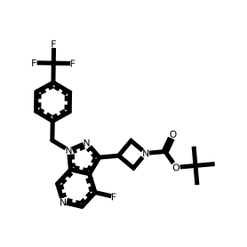 CC(C)(C)OC(=O)N1CC(c2nn(Cc3ccc(C(F)(F)F)cc3)c3cncc(F)c23)C1